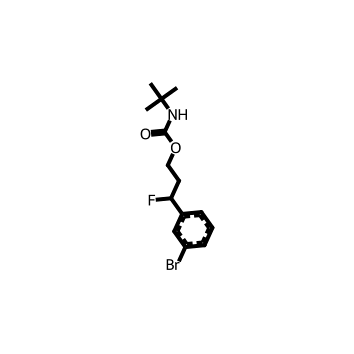 CC(C)(C)NC(=O)OCCC(F)c1cccc(Br)c1